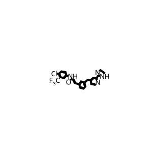 O=C(C=Cc1cccc(Cc2ccnc(C3=NCCN3)c2)c1)Nc1ccc(Cl)c(C(F)(F)F)c1